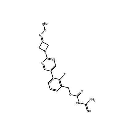 [CH2][CH]CCON=C1CN(c2ncc(-c3cccc(COC(=O)NC(=N)N)c3F)cn2)C1